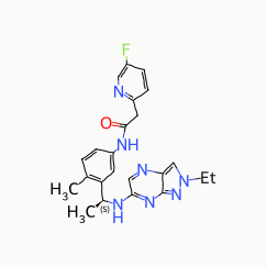 CCn1cc2ncc(N[C@@H](C)c3cc(NC(=O)Cc4ccc(F)cn4)ccc3C)nc2n1